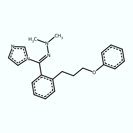 CN(C)N=C(c1ccccc1CCCOc1ccccc1)n1ccnc1